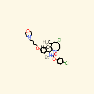 C=C1/C=C(Cl)\C=C/CN/C(C(c2ccc(OCCCCN3CCOCC3)cc2)N(CC)C(=O)Oc2ccc(Cl)cc2)=C\1C